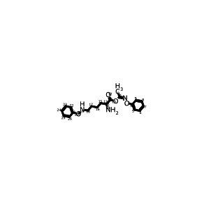 CC(=NOc1ccccc1)OC(=O)[C@@H](N)CCCCNOc1ccccc1